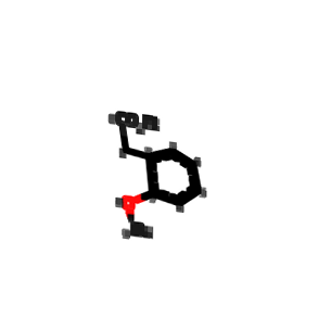 CCOC(=O)Cc1ccccc1O[C@H](C)CC